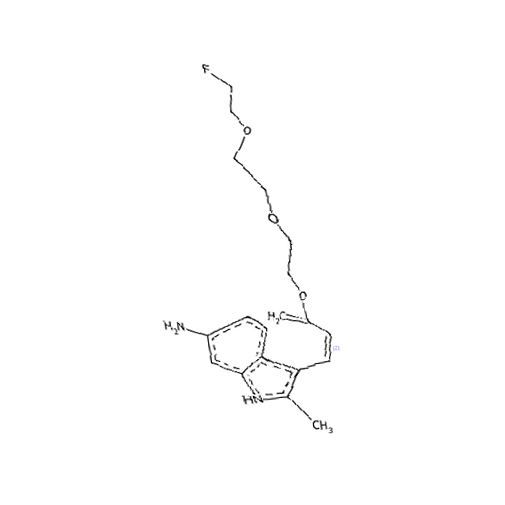 C=C(/C=C\c1c(C)[nH]c2cc(N)ccc12)OCCOCCOCCF